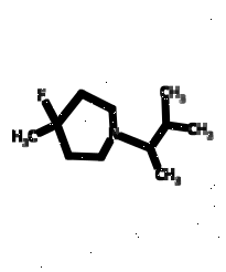 CC(C)C(C)N1CCC(C)(F)CC1